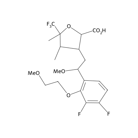 COCCOc1c(C(CC2C(C(=O)O)OC(C)(C(F)(F)F)C2C)OC)ccc(F)c1F